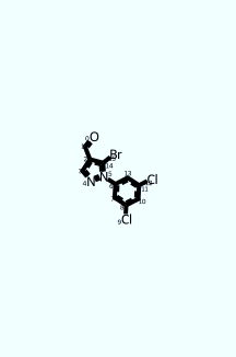 O=Cc1cnn(-c2cc(Cl)cc(Cl)c2)c1Br